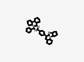 c1ccc(-c2nc(-c3ccc(-c4cc5ccccc5n5c4nc4ccccc45)cc3)nc(-c3ccccc3-c3ccccc3)n2)cc1